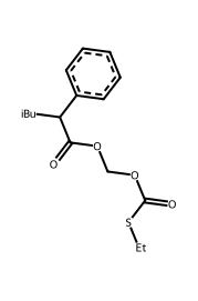 CCSC(=O)OCOC(=O)C(c1ccccc1)C(C)CC